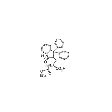 CC(C)(C)OC(=O)N[C@@H](CC(C(N)=O)C(c1ccccc1)(c1ccccc1)c1ccccc1)C(=O)O